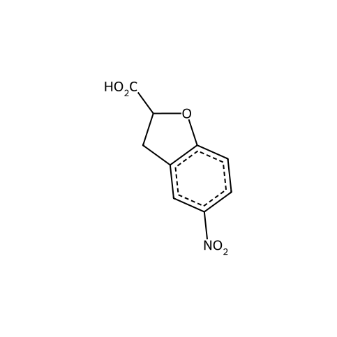 O=C(O)C1Cc2cc([N+](=O)[O-])ccc2O1